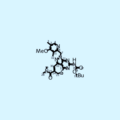 COc1c(C)cnc(Cn2nc3c4c(nc(NC(=O)OC(C)(C)C)nc42)SCC(C(=O)N(C)C)=C3)c1C